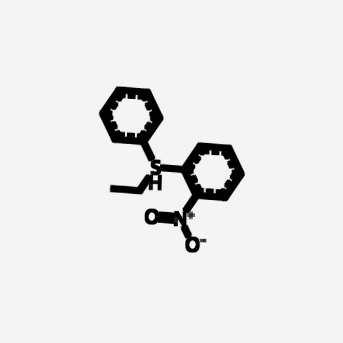 CC[SH](c1ccccc1)c1ccccc1[N+](=O)[O-]